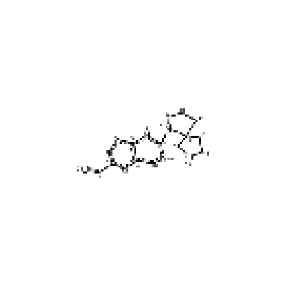 O=Cc1ccc2nc(N3CCCC34CCOC4)ncc2c1